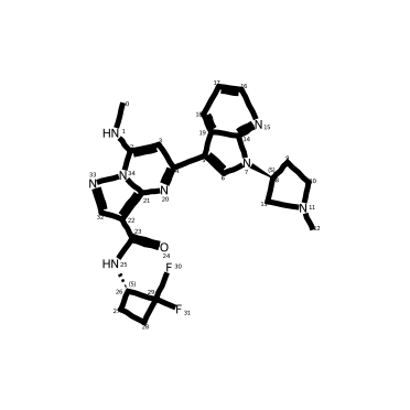 CNc1cc(-c2cn([C@H]3CCN(C)C3)c3ncccc23)nc2c(C(=O)N[C@H]3CCC3(F)F)cnn12